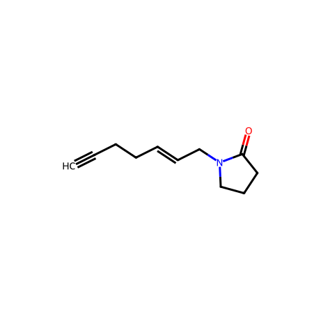 C#CCC/C=C/CN1CCCC1=O